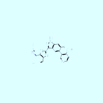 C=Cc1nc(-c2n[nH]c3cc(C)c(-c4cnccc4C)cc23)[nH]c1/C=N\C